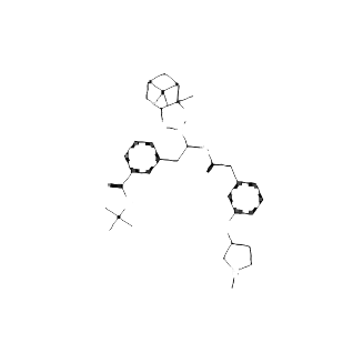 CN1CCC(Oc2cccc(CC(=O)NC(Cc3cccc(C(=O)OC(C)(C)C)c3)B3OC4CC5CC(C5(C)C)C4(C)O3)c2)C1